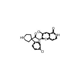 O=C(Nc1cc2cc[nH]c(=O)c2cc1Cl)C1(c2ccc(Cl)cc2)CCNCC1